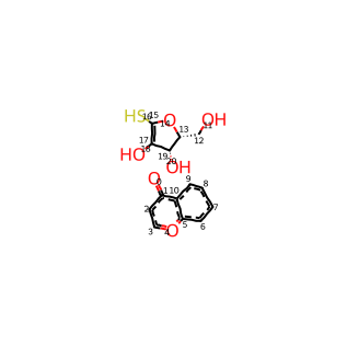 O=c1ccoc2ccccc12.OC[C@H]1OC(S)=C(O)[C@H]1O